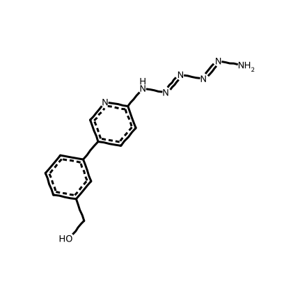 NN=NN=NNc1ccc(-c2cccc(CO)c2)cn1